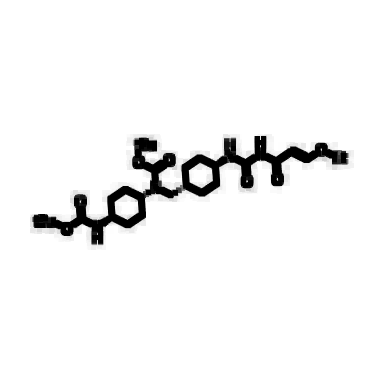 CCOC=CC(=O)NC(=O)N[C@H]1CC[C@H](CN(C(=O)OC(C)(C)C)[C@H]2CC[C@H](NC(=O)OC(C)(C)C)CC2)CC1